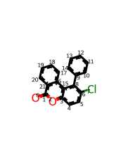 O=c1oc2ccc(Cl)c(-c3ccccc3)c2c2ccccc12